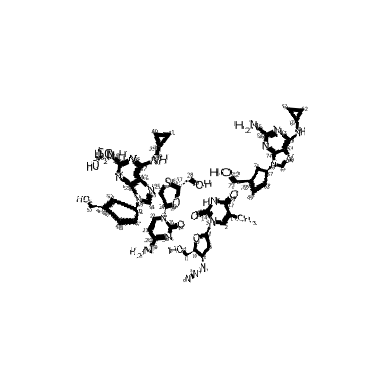 Cc1cn([C@H]2C[C@H](N=[N+]=[N-])[C@@H](CO)O2)c(=O)[nH]c1=O.Nc1ccn([C@@H]2CS[C@H](CO)O2)c(=O)n1.Nc1nc(NC2CC2)c2ncn([C@H]3C=C[C@@H](CO)C3)c2n1.Nc1nc(NC2CC2)c2ncn([C@H]3C=C[C@@H](CO)C3)c2n1.O=S(=O)(O)O